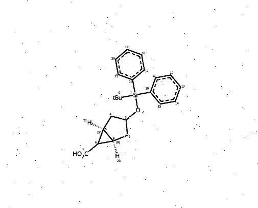 CC(C)(C)[Si](OC1C[C@@H]2C(C(=O)O)[C@@H]2C1)(c1ccccc1)c1ccccc1